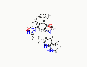 O=C(O)CC(Cc1nc(CCCc2ccc3c(n2)NCCC3)no1)c1ccc2ncoc2c1